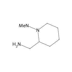 CNN1CCCCC1CN